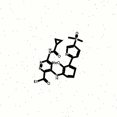 CCC(=O)c1nnc(NC(=O)C2CC2)cc1Nc1cccc(-c2ccc(P(C)(C)=O)cn2)c1OC